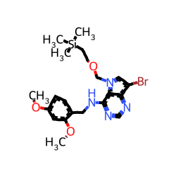 COc1ccc(CNc2ncnc3c(Br)cn(COCC[Si](C)(C)C)c23)c(OC)c1